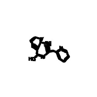 Oc1nc(-c2ccccn2)nc2ncccc12